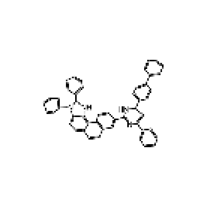 C1=C(c2ccccc2)N=C(c2ccc3c(ccc4ccc5c(c43)NC(c3ccccc3)N5c3ccccc3)c2)NC1c1ccc(-c2ccccc2)cc1